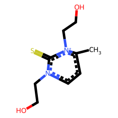 Cc1ccn(CCO)c(=S)[n+]1CCO